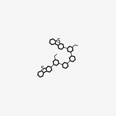 CCc1cc(-c2cccc(-c3cccc(-c4cc(CC)cc(-c5ccc6c(c5)sc5ccccc56)c4)c3)c2)cc(-c2ccc3c(c2)sc2ccccc23)c1